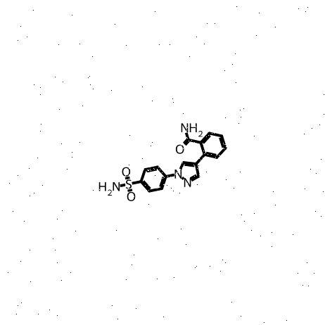 NC(=O)c1ccccc1-c1cnn(-c2ccc(S(N)(=O)=O)cc2)c1